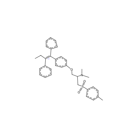 CC/C(=C(\c1ccccc1)c1ccc(OCC(CS(=O)(=O)c2ccc(C)cc2)N(C)C)cc1)c1ccccc1